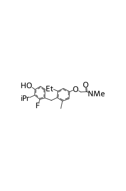 CCc1cc(OCC(=O)NC)cc(C)c1Cc1ccc(O)c(C(C)C)c1F